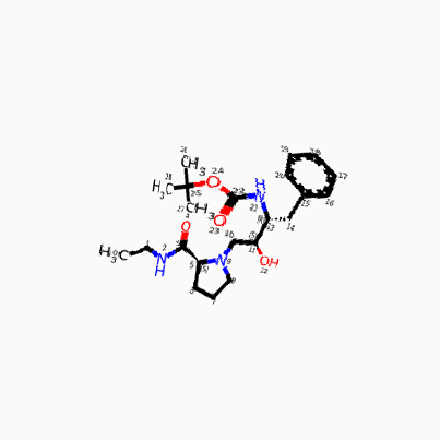 CCNC(=O)[C@@H]1CCCN1C[C@H](O)[C@@H](Cc1ccccc1)NC(=O)OC(C)(C)C